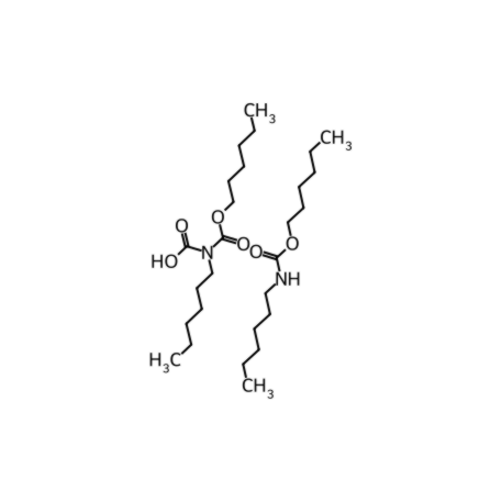 CCCCCCNC(=O)OCCCCCC.CCCCCCOC(=O)N(CCCCCC)C(=O)O